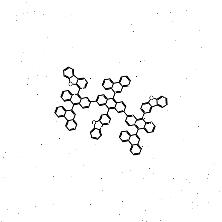 c1ccc2c(c1)cc(-c1c3ccccc3c(-c3ccc4oc5ccccc5c4c3)c3cc(-c4ccc5c(-c6cc7ccccc7c7ccccc67)c6ccc(-c7ccc8c(-c9cc%10ccccc%10c%10ccccc9%10)c9ccccc9c(-c9cccc%10c9oc9ccccc9%10)c8c7)cc6c(-c6ccc7c(c6)oc6ccccc67)c5c4)ccc13)c1ccccc12